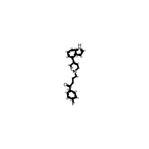 O=C(CCCN1CC=C(c2cccc3[nH]ccc23)CC1)c1ccc(F)cc1